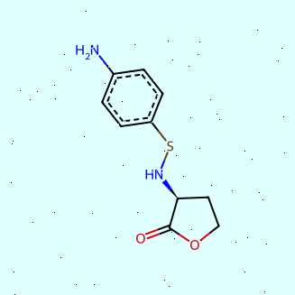 Nc1ccc(SN[C@H]2CCOC2=O)cc1